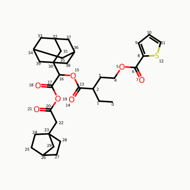 CCC(CCOC(=O)c1cccs1)C(=O)OC(C(=O)OC(=O)CC12CCC(CC1)C2)C12CC3CC(CC(C3)C1)C2